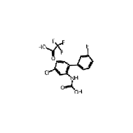 O=C(O)C(F)(F)F.O=C(O)Nc1cc(Cl)ccc1-c1cccc(F)c1